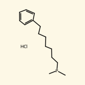 CP(C)CCCCCCCc1ccccc1.Cl